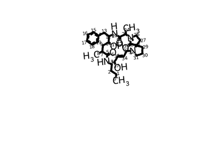 CCCCNC(=O)C(C)CC(O)C(Cc1ccccc1)NC(=O)C(C)N1CCC2(CCCN2CC=CCO)C1=O